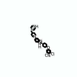 N#Cc1ccc(O[C@H]2CC[C@H](c3nc4cc(N5CCC(CN6CCNCC6)CC5)ccc4[nH]3)CC2)cc1Cl